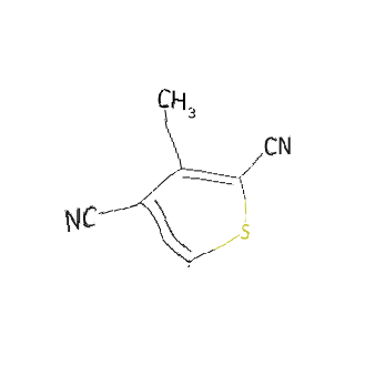 Cc1c(C#N)[c]sc1C#N